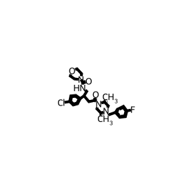 C[C@@H]1CN(Cc2ccc(F)cc2)[C@@H](C)CN1C(=O)CC(CNC(=O)N1CCOCC1)c1ccc(Cl)cc1